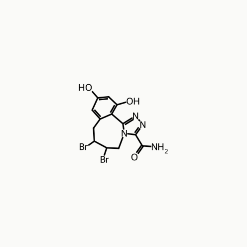 NC(=O)c1nnc2n1CC(Br)C(Br)Cc1cc(O)cc(O)c1-2